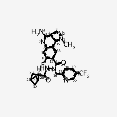 Cn1ncc2c(N)nc3cc(F)c(C(=O)N(Cc4ccc(C(F)(F)F)cn4)NC(=O)[C@@H]4CC5CC4C5)cc3c21